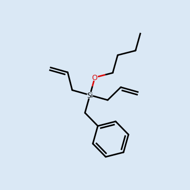 C=CC[Si](CC=C)(Cc1ccccc1)OCCCC